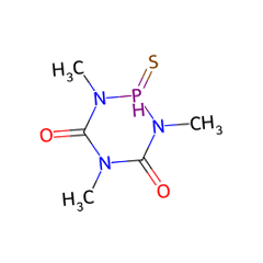 CN1C(=O)N(C)[PH](=S)N(C)C1=O